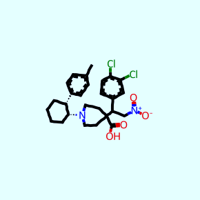 Cc1ccc([C@H]2CCCC[C@H]2N2CCC(C(=O)O)(C(C[N+](=O)[O-])c3ccc(Cl)c(Cl)c3)CC2)cc1